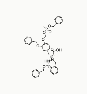 C[C@](Cc1ccc(OCOP(C)(=O)OCc2ccccc2)c(OCc2ccccc2)c1)(C(=O)O)N(Cc1ccccc1)NC(=O)OCc1ccccc1